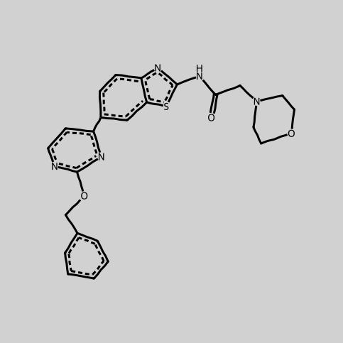 O=C(CN1CCOCC1)Nc1nc2ccc(-c3ccnc(OCc4ccccc4)n3)cc2s1